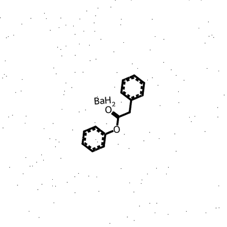 O=C(Cc1ccccc1)Oc1ccccc1.[BaH2]